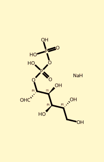 O=C[C@H](OP(=O)(O)OP(=O)(O)O)[C@@H](O)[C@H](O)[C@H](O)CO.[NaH]